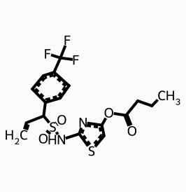 C=CC(c1ccc(C(F)(F)F)cc1)S(=O)(=O)Nc1nc(OC(=O)CCC)cs1